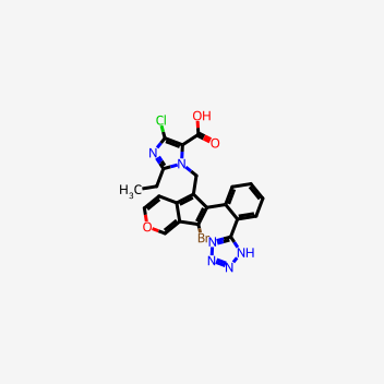 CCc1nc(Cl)c(C(=O)O)n1Cc1c2ccocc-2c(Br)c1-c1ccccc1-c1nnn[nH]1